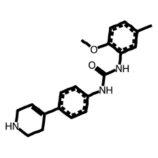 COc1ccc(C)cc1NC(=O)Nc1ccc(C2=CCNCC2)cc1